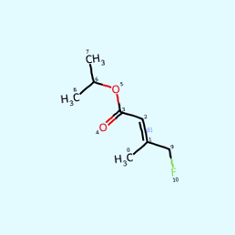 C/C(=C\C(=O)OC(C)C)CF